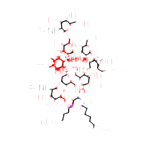 CCCCCCCCCCCCC/C=C/[C@@H](O)[C@H](CO[C@@H]1OC(CO)[C@@H](O[C@@H]2OC(CO)[C@H](O)[C@H](O[C@@H]3OC(CO)[C@@H](O)[C@H](O[C@@H]4OC(CO[C@@H]5OC(CO)[C@@H](O)[C@H](O)C5NC(C)=O)[C@H](O)[C@H](O[C@@H]5OC(CO)[C@@H](O)[C@H](O[C@@H]6OC(CO)[C@H](O)[C@H](O[C@H]7OC(CO)[C@H](O)[C@H](O)C7NC(C)=O)C6O[C@H]6OC(C)[C@@H](O)C(O)[C@@H]6O)C5NC(C)=O)C4O)C3NC(C)=O)C2O)[C@H](O)C1O)NC(=O)CCCCCCCCCCCCCCC